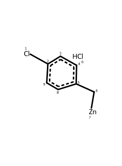 Cl.Clc1ccc([CH2][Zn])cc1